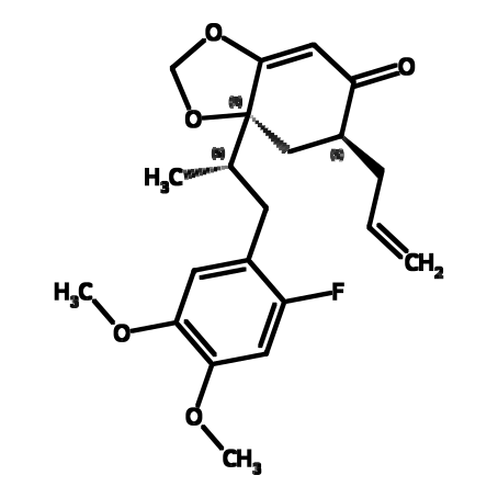 C=CC[C@H]1C[C@]2([C@@H](C)Cc3cc(OC)c(OC)cc3F)OCOC2=CC1=O